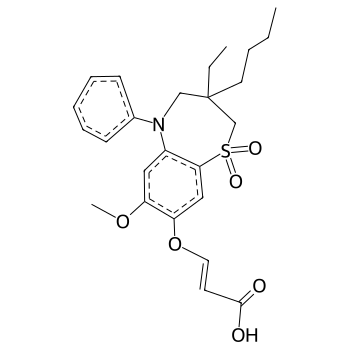 CCCCC1(CC)CN(c2ccccc2)c2cc(OC)c(O/C=C/C(=O)O)cc2S(=O)(=O)C1